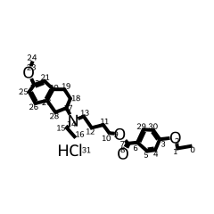 CCOc1ccc(C(=O)OCCCCN(CC)C2CCc3cc(OC)ccc3C2)cc1.Cl